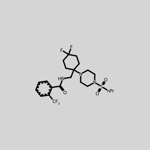 CCCS(=O)(=O)N1CCN(C2(CNC(=O)c3ccccc3C(F)(F)F)CCC(F)(F)CC2)CC1